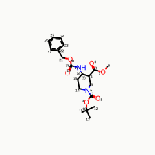 COC(=O)C1CN(C(=O)OC(C)(C)C)CC[C@@H]1NC(=O)OCc1ccccc1